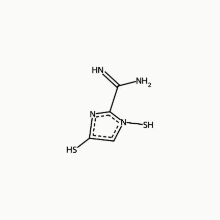 N=C(N)c1nc(S)cn1S